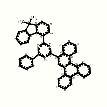 CC1(C)c2ccccc2-c2c(-c3nc(-c4ccccc4)nc(-c4cc5c6ccccc6c6ccccc6c5c5ccccc45)n3)cccc21